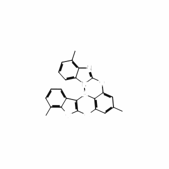 Cc1cc2c3c(c1)Oc1nc4c(C)cccc4n1B3c1c(oc3c(C)cccc13)O2